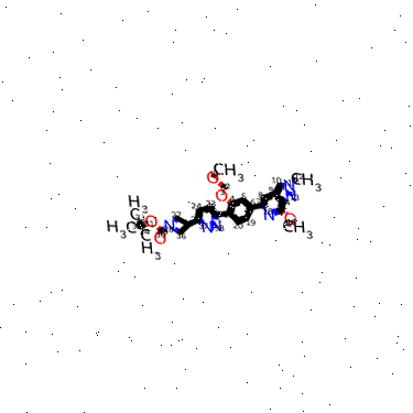 COCOc1cc(-c2cc3cn(C)nc3c(OC)n2)ccc1-c1ccc(C2CN(C(=O)OC(C)(C)C)C2)nn1